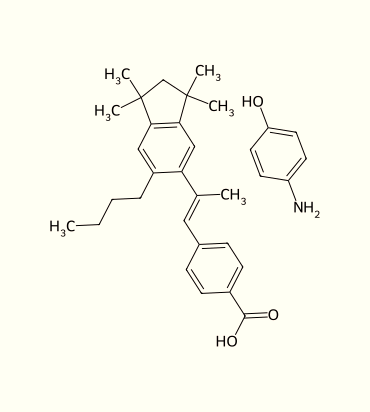 CCCCc1cc2c(cc1C(C)=Cc1ccc(C(=O)O)cc1)C(C)(C)CC2(C)C.Nc1ccc(O)cc1